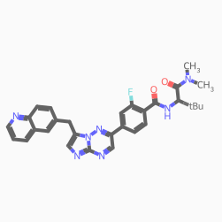 CN(C)C(=O)C(NC(=O)c1ccc(-c2cnc3ncc(Cc4ccc5ncccc5c4)n3n2)cc1F)C(C)(C)C